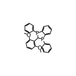 COc1cccc(OC)c1C1P(c2ccccc2)c2ccccc2P1c1ccccc1